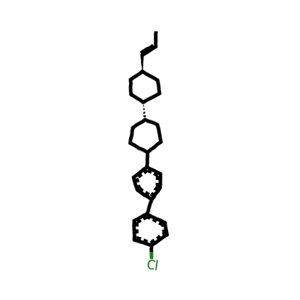 C/C=C/[C@H]1CC[C@H](C2CCC(c3ccc(-c4ccc(Cl)cc4)cc3)CC2)CC1